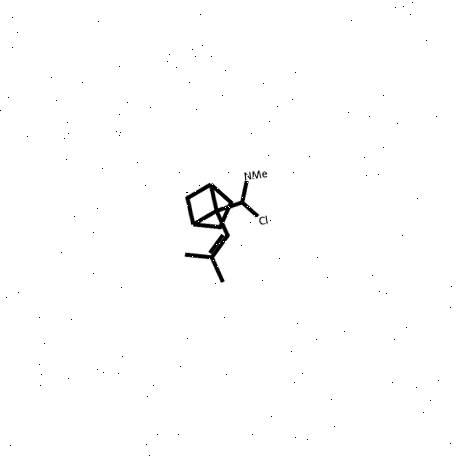 CNC(Cl)C1(C=C(C)C)C2CCC1C2